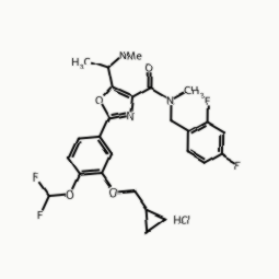 CNC(C)c1oc(-c2ccc(OC(F)F)c(OCC3CC3)c2)nc1C(=O)N(C)Cc1ccc(F)cc1F.Cl